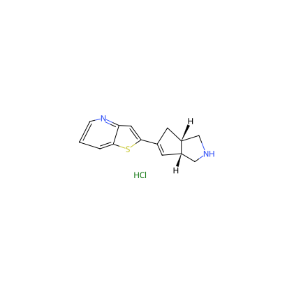 C1=C(c2cc3ncccc3s2)C[C@@H]2CNC[C@H]12.Cl